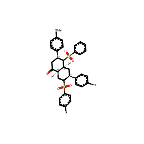 CCc1ccc([C@@H]2C[C@@H]3C(S(=O)(=O)c4ccccc4)[C@H](c4ccc(OC)cc4)CC(=O)[C@@H]3CC2S(=O)(=O)c2ccc(C)cc2)cc1